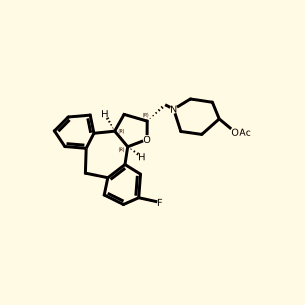 CC(=O)OC1CCN(C[C@H]2C[C@@H]3c4ccccc4Cc4ccc(F)cc4[C@@H]3O2)CC1